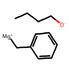 CCCC[O-].[Mg+][CH2]c1ccccc1